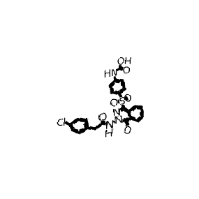 O=C(O)Nc1ccc(S(=O)(=O)c2nn(NC(=O)Cc3ccc(Cl)cc3)c(=O)c3ccccc23)cc1